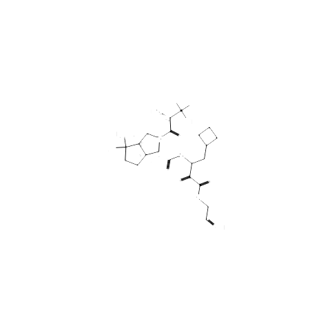 C=CCNC(=O)C(=O)C(CC1CCC1)NC(=O)[C@@H]1[C@H]2CCC(C)(C)[C@H]2CN1C(=O)[C@@H](N)C(C)(C)C